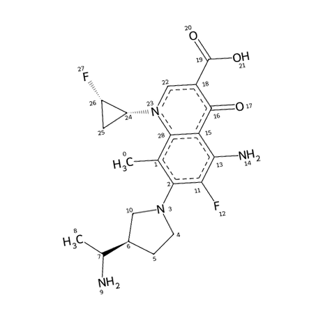 Cc1c(N2CC[C@@H](C(C)N)C2)c(F)c(N)c2c(=O)c(C(=O)O)cn([C@@H]3C[C@@H]3F)c12